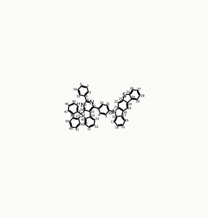 c1ccc(-c2nc(-c3ccc(-n4c5ccccc5c5cc6c(cc54)sc4ccccc46)cc3)c3c(n2)[Si](c2ccccc2)(c2ccccc2)c2ccccc2-3)cc1